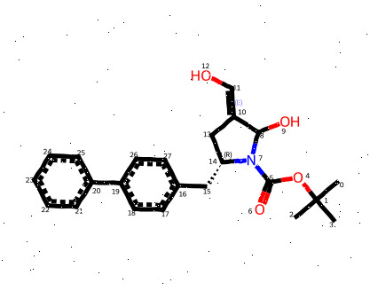 CC(C)(C)OC(=O)N1C(O)/C(=C/O)C[C@H]1Cc1ccc(-c2ccccc2)cc1